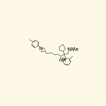 CCCC(CCCCC1CN(c2ccc(C)cc2)C1)C(CNC)(c1ccccc1C)C1CCCC1